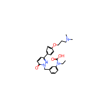 CCN(C(=O)O)c1cccc(Cn2nc(-c3ccc(OCCCN(C)C)cc3)ccc2=O)c1